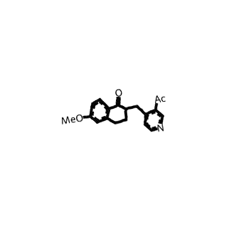 COc1ccc2c(c1)CCC(Cc1ccncc1C(C)=O)C2=O